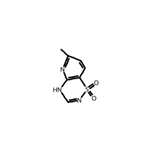 Cc1ccc2c(n1)NC=NS2(=O)=O